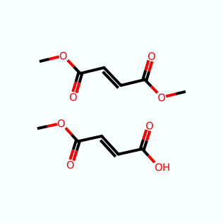 COC(=O)/C=C/C(=O)O.COC(=O)/C=C/C(=O)OC